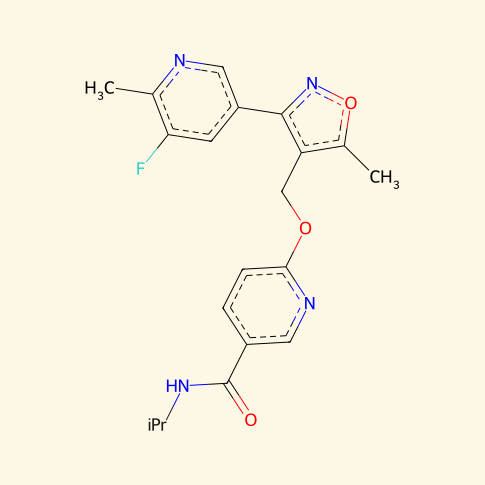 Cc1ncc(-c2noc(C)c2COc2ccc(C(=O)NC(C)C)cn2)cc1F